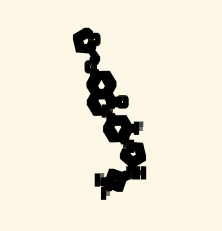 O=c1c2ccc(OC[C@H]3CCCO3)cc2ccn1-c1ccc(N2CCC(NC3CC(F)(F)C3)C2)c(F)c1